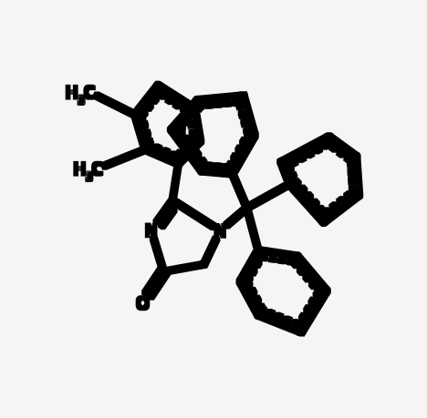 Cc1cccc(C2=NC(=O)CN2C(c2ccccc2)(c2ccccc2)c2ccccc2)c1C